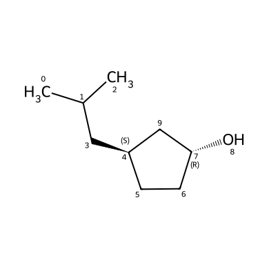 CC(C)C[C@@H]1CC[C@@H](O)C1